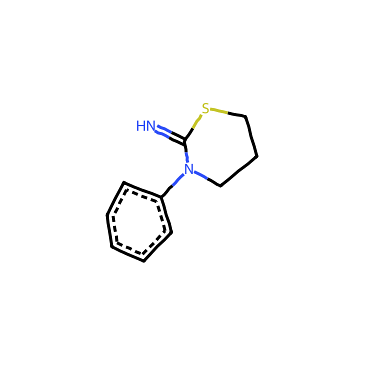 N=C1SCCCN1c1ccccc1